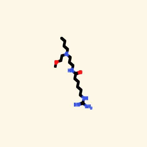 CCCCN(CCCNC(=O)CCCCCNC(=N)N)CCOC